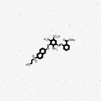 COC(=O)c1ccccc1/N=N/c1cc(S(=O)(=O)O)c(N)c(/N=N/c2ccc3cc(S(=O)(=O)CCO)ccc3c2)c1N